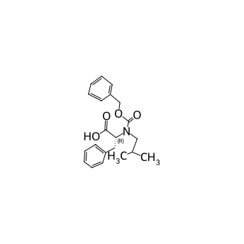 CC(C)CN(C(=O)OCc1ccccc1)[C@H](Cc1ccccc1)C(=O)O